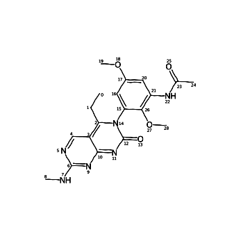 CCc1c2cnc(NC)nc2nc(=O)n1-c1cc(OC)cc(NC(C)=O)c1OC